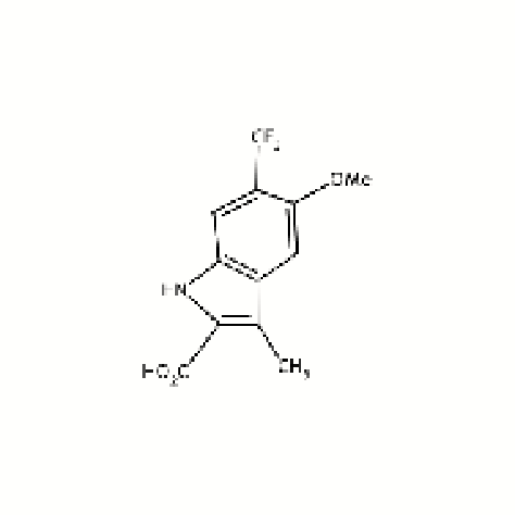 COc1cc2c(C)c(C(=O)O)[nH]c2cc1C(F)(F)F